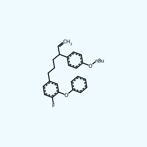 C=CC(CCCc1ccc(F)c(Oc2ccccc2)c1)c1ccc(OCCCC)cc1